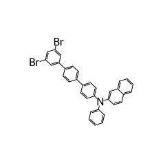 Brc1cc(Br)cc(-c2ccc(-c3ccc(N(c4ccccc4)c4ccc5ccccc5c4)cc3)cc2)c1